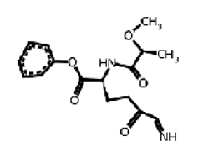 CO[C@@H](C)C(=O)N[C@@H](CCC(=O)C=N)C(=O)Oc1ccccc1